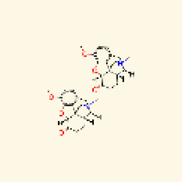 COc1ccc2c3c1O[C@H]1C(=O)CC[C@H]4[C@@H](C2)N(C)CC[C@]314.COc1ccc2c3c1O[C@H]1C(=O)CC[C@H]4[C@@H](C2)N(C)CC[C@]314